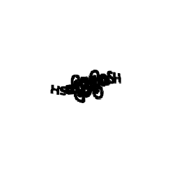 O=C1c2ccc3c4c(ccc(c24)C(=O)N1c1ccc(S)cc1)C(=O)N(c1ccc(S)cc1)C3=O